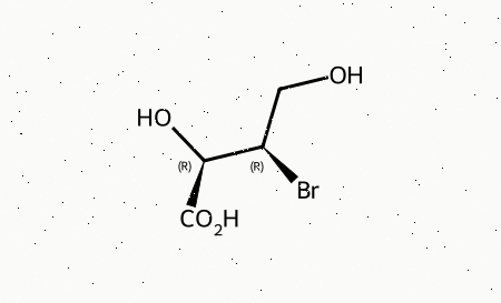 O=C(O)[C@@H](O)[C@H](Br)CO